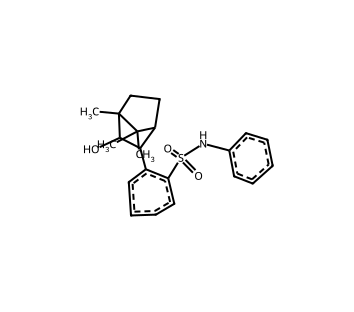 CC1(C)C2CCC1(C)C(O)C2c1ccccc1S(=O)(=O)Nc1ccccc1